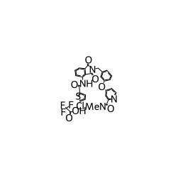 CNC(=O)c1cc(Oc2cccc(CN3C(=O)c4cccc(NC(=O)c5ccc(Cl)s5)c4C3=O)c2)ccn1.O=C(O)C(F)(F)F